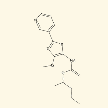 C=C(Nc1sc(-c2cccnc2)nc1OC)OC(C)CCC